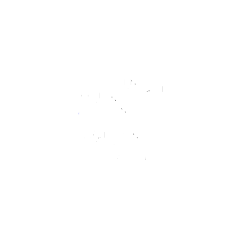 Cc1nc2c(ccc3cnn(C[C@H](C)N)c32)o1.O=C(O)/C=C/C(=O)O